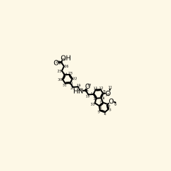 COc1cccc2c1-c1c(OC)ccc(CC(=O)NCCc3ccc(CCC(=O)O)cc3)c1C2